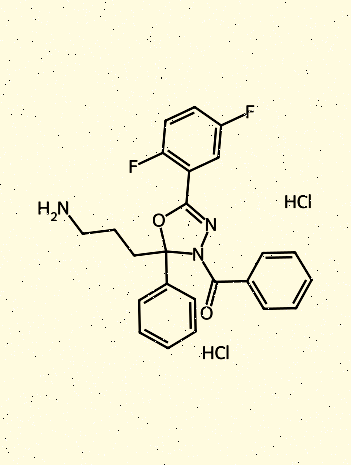 Cl.Cl.NCCCC1(c2ccccc2)OC(c2cc(F)ccc2F)=NN1C(=O)c1ccccc1